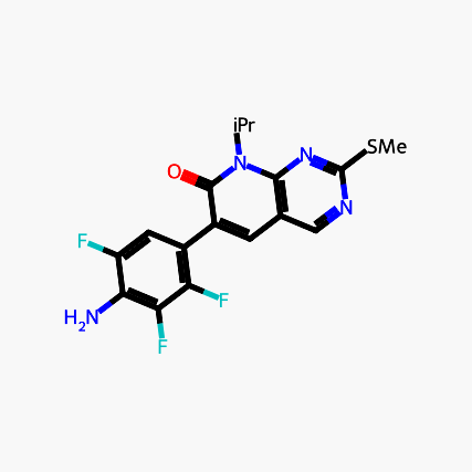 CSc1ncc2cc(-c3cc(F)c(N)c(F)c3F)c(=O)n(C(C)C)c2n1